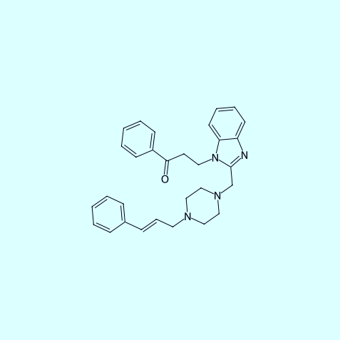 O=C(CCn1c(CN2CCN(CC=Cc3ccccc3)CC2)nc2ccccc21)c1ccccc1